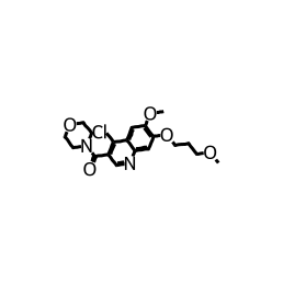 COCCCOc1cc2ncc(C(=O)N3CCOCC3)c(Cl)c2cc1OC